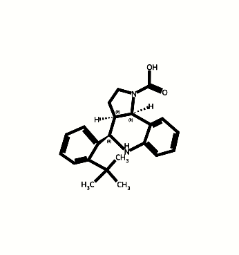 CC(C)(C)c1ccccc1[C@@H]1Nc2ccccc2[C@H]2[C@@H]1CCN2C(=O)O